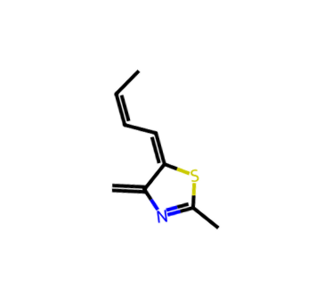 C=c1nc(C)s/c1=C/C=C\C